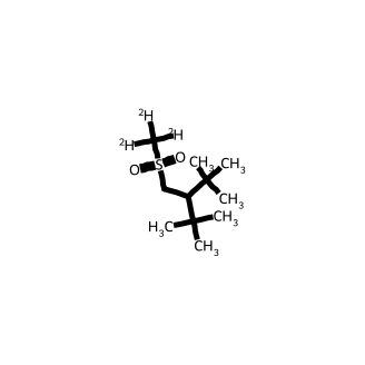 [2H]C([2H])([2H])S(=O)(=O)CC(C(C)(C)C)C(C)(C)C